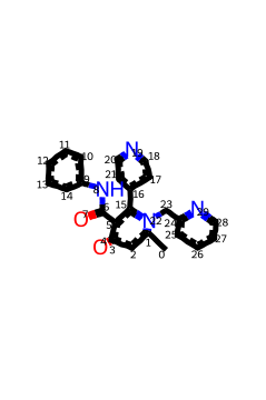 Cc1cc(=O)c(C(=O)Nc2ccccc2)c(-c2ccncc2)n1Cc1ccccn1